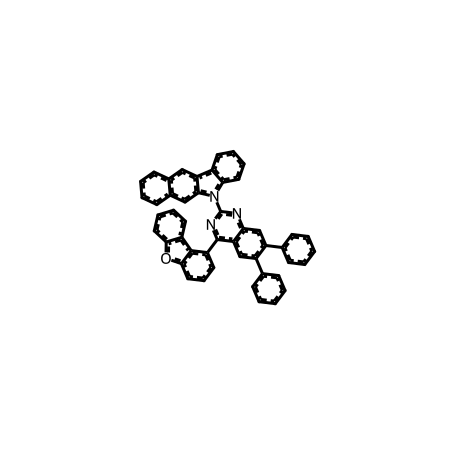 c1ccc(-c2cc3nc(-n4c5ccccc5c5cc6ccccc6cc54)nc(-c4cccc5oc6ccccc6c45)c3cc2-c2ccccc2)cc1